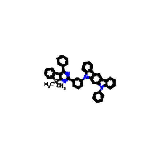 C[Si]1(C)c2ccccc2-c2c(-c3ccccc3)nc(-c3cccc(-n4c5ccccc5c5cc6c7ccccc7n(-c7ccccc7)c6cc54)c3)nc21